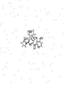 CC(C)c1ccnc(Nc2cc(C3(C#N)CCNCC3)cc(N3CCC[C@H]3C)n2)c1